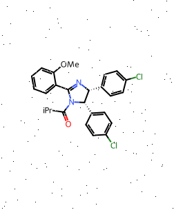 COc1ccccc1C1=N[C@H](c2ccc(Cl)cc2)[C@H](c2ccc(Cl)cc2)N1C(=O)C(C)C